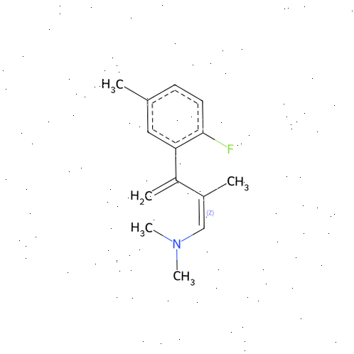 C=C(/C(C)=C\N(C)C)c1cc(C)ccc1F